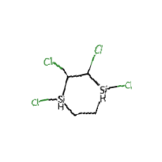 ClC1C(Cl)[SiH](Cl)CC[SiH]1Cl